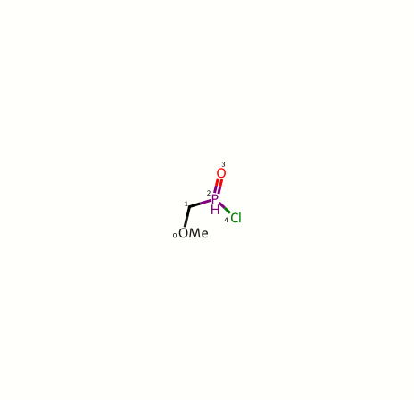 COC[PH](=O)Cl